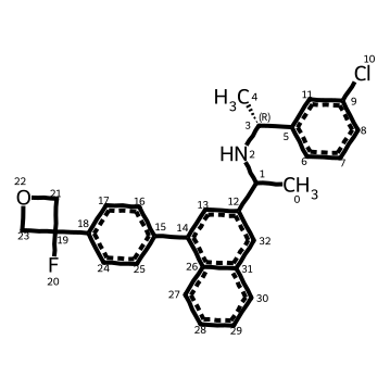 CC(N[C@H](C)c1cccc(Cl)c1)c1cc(-c2ccc(C3(F)COC3)cc2)c2ccccc2c1